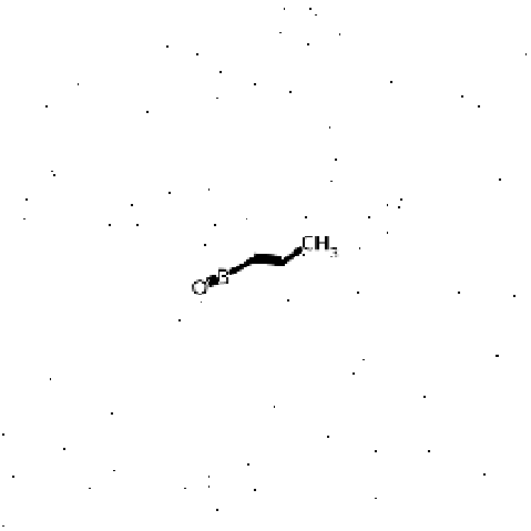 CC=CB=O